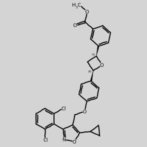 COC(=O)c1cccc([C@@H]2C[C@H](c3ccc(OCc4c(-c5c(Cl)cccc5Cl)noc4C4CC4)cc3)O2)c1